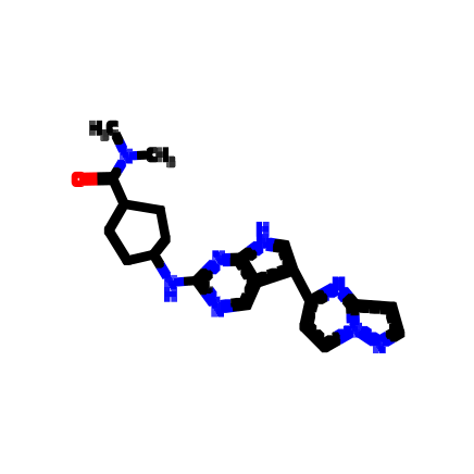 CN(C)C(=O)C1CCC(Nc2ncc3c(-c4ccn5nccc5n4)c[nH]c3n2)CC1